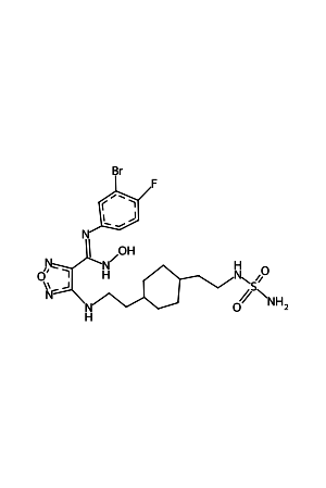 NS(=O)(=O)NCCC1CCC(CCNc2nonc2C(=Nc2ccc(F)c(Br)c2)NO)CC1